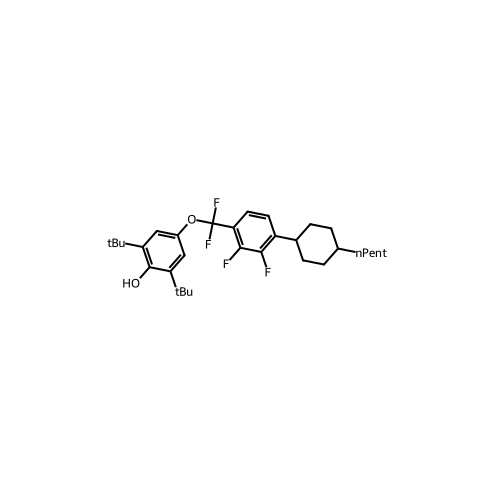 CCCCCC1CCC(c2ccc(C(F)(F)Oc3cc(C(C)(C)C)c(O)c(C(C)(C)C)c3)c(F)c2F)CC1